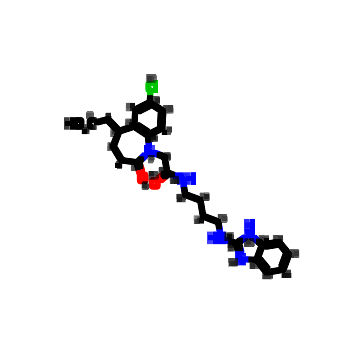 O=C(O)CC1CCC(=O)N(CC(=O)NCCCCNc2nc3ccccc3[nH]2)c2ccc(Cl)cc21